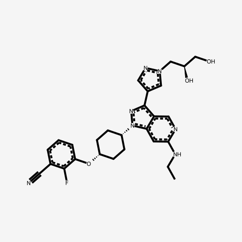 CCNc1cc2c(cn1)c(-c1cnn(C[C@H](O)CO)c1)nn2[C@H]1CC[C@@H](Oc2cccc(C#N)c2F)CC1